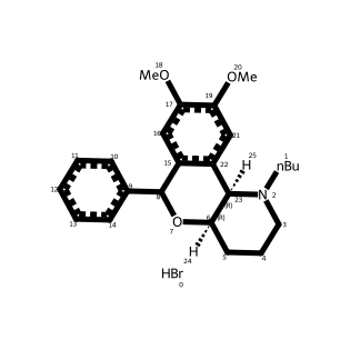 Br.CCCCN1CCC[C@H]2OC(c3ccccc3)c3cc(OC)c(OC)cc3[C@H]21